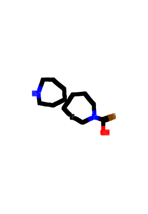 C1CCCNCC1.OC(=S)N1CCCCCC1